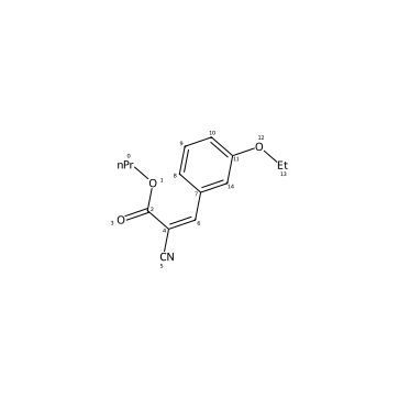 CCCOC(=O)C(C#N)=Cc1cccc(OCC)c1